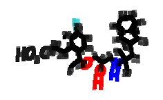 CC(OC[C@H](O)CNC(C)(C)CC1Cc2ccccc2C1)c1ccc(F)cc1CCC(=O)O